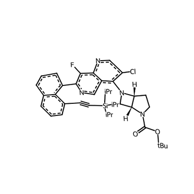 CC(C)[Si](C#Cc1cccc2cccc(-c3ncc4c(N5C[C@@H]6[C@H]5CCN6C(=O)OC(C)(C)C)c(Cl)cnc4c3F)c12)(C(C)C)C(C)C